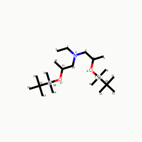 CCN(CC(C)O[Si](C)(C)C(C)(C)C)CC(C)O[Si](C)(C)C(C)(C)C